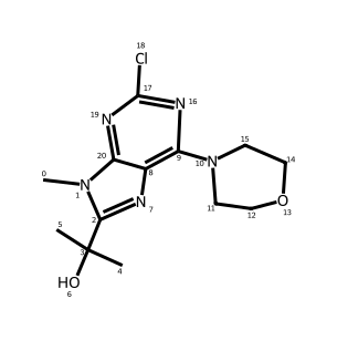 Cn1c(C(C)(C)O)nc2c(N3CCOCC3)nc(Cl)nc21